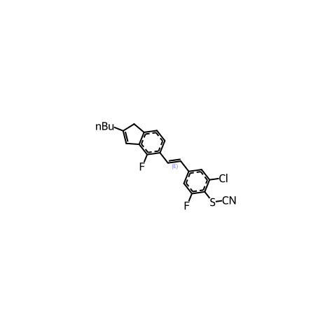 CCCCC1=Cc2c(ccc(/C=C/c3cc(F)c(SC#N)c(Cl)c3)c2F)C1